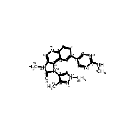 CNc1ncc(-c2ccc3ncc4c(c3c2)n(-c2cn(C)nc2C)c(=O)n4C)cn1